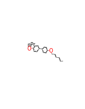 C/C=C/C=C/COc1ccc(-c2ccc(OCCC)cc2)cc1